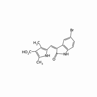 Cc1[nH]c(C=C2C(=O)Nc3ccc(Br)cc32)c(C)c1C(=O)O